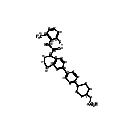 O=C(O)CC1CCC(c2ccc(-c3ccc4c(c3)OCCN4C(=O)Nc3c(F)cccc3C(F)(F)F)cc2)CC1